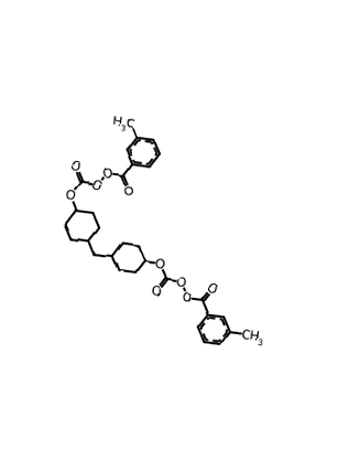 Cc1cccc(C(=O)OOC(=O)OC2CCC(CC3CCC(OC(=O)OOC(=O)c4cccc(C)c4)CC3)CC2)c1